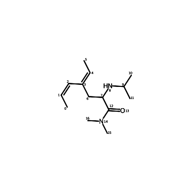 C/C=C\C(=C/C)CC(NC(C)C)C(=O)N(C)C